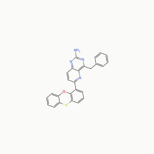 Nc1nc(Cc2ccccc2)c2nc(-c3cccc4c3Oc3ccccc3S4)ccc2n1